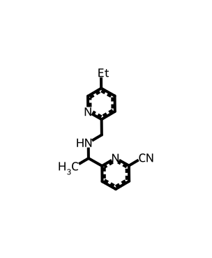 CCc1ccc(CNC(C)c2cccc(C#N)n2)nc1